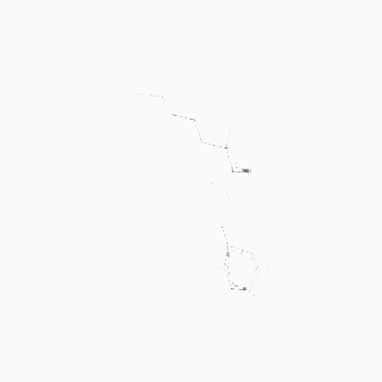 CCCCCCCCCCCCCCC(C(=O)OOCc1ccccc1)C(C)C